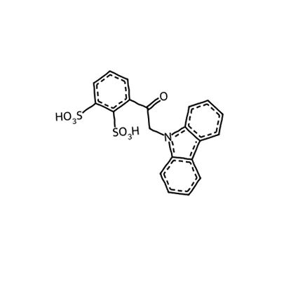 O=C(Cn1c2ccccc2c2ccccc21)c1cccc(S(=O)(=O)O)c1S(=O)(=O)O